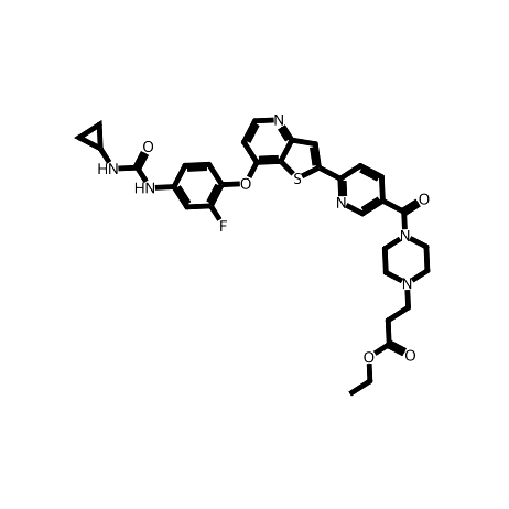 CCOC(=O)CCN1CCN(C(=O)c2ccc(-c3cc4nccc(Oc5ccc(NC(=O)NC6CC6)cc5F)c4s3)nc2)CC1